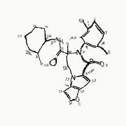 Cc1ccc(C)c(N2C(=O)c3cc4occc4n3CC2(C)C(=O)NC2CCCCC2C)c1